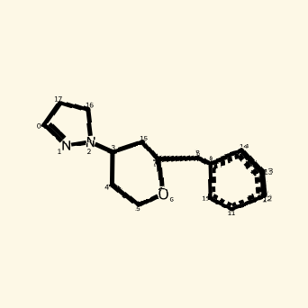 C1=NN(C2CCOC(Cc3ccccc3)C2)CC1